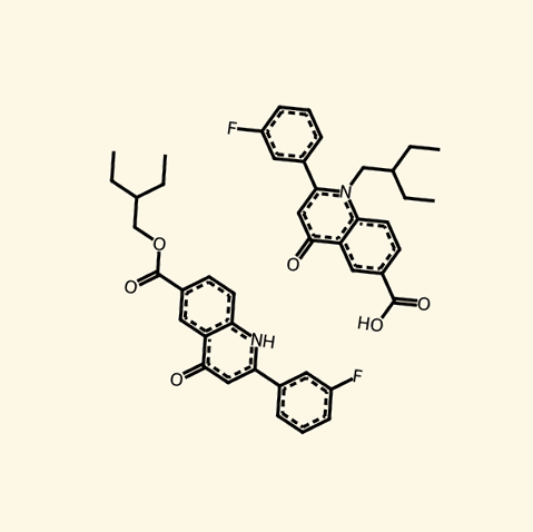 CCC(CC)COC(=O)c1ccc2[nH]c(-c3cccc(F)c3)cc(=O)c2c1.CCC(CC)Cn1c(-c2cccc(F)c2)cc(=O)c2cc(C(=O)O)ccc21